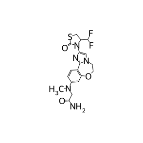 CN(CC(N)=O)c1ccc2c(c1)OCCn1cc(N3C(=O)SCC3C(F)F)nc1-2